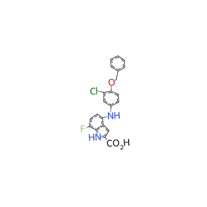 O=C(O)c1cc2c(Nc3ccc(OCc4ccccc4)c(Cl)c3)ccc(F)c2[nH]1